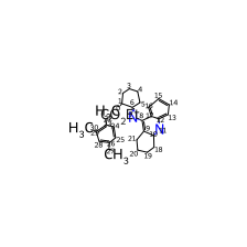 CC1CCCCC1=Nc1c2c(nc3ccccc13)CCCC2.CCOC(=O)c1ccc(C)cc1C